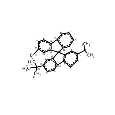 CC(C)c1ccc2c(c1)C1(c3ccccc3-c3ccc(Br)cc31)c1cc(C(C)(C)C)ccc1-2